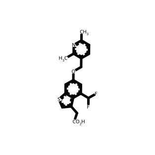 Cc1ccc(COc2cc(C(F)F)c3c(CC(=O)O)csc3c2)c(C)n1